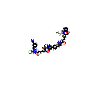 CN1C(=S)[C@@H](/C=C/CCC(=O)c2cc(Cc3ccc(-c4cnc5c(c4)OC[C@H](/C=C/CCC(=O)c4nc(Cl)n(Cc6cccc(C#N)c6)n4)C(=S)N5C)cc3)on2)COc2cccnc21